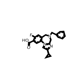 O=C(O)c1cc2c(cc1F)CN(Cc1ccccc1)Cc1nc(C3CC3)cn1-2